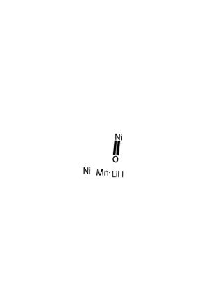 [LiH].[Mn].[Ni].[O]=[Ni]